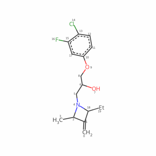 C=C1C(C)N(CC(O)COc2ccc(Cl)c(F)c2)C1CC